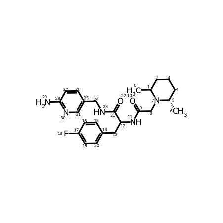 CC1CCC[C@H](C)N1CC(=O)NC(Cc1ccc(F)cc1)C(=O)NCc1ccc(N)nc1